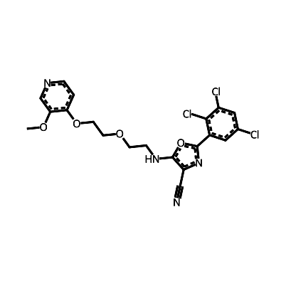 COc1cnccc1OCCOCCNc1oc(-c2cc(Cl)cc(Cl)c2Cl)nc1C#N